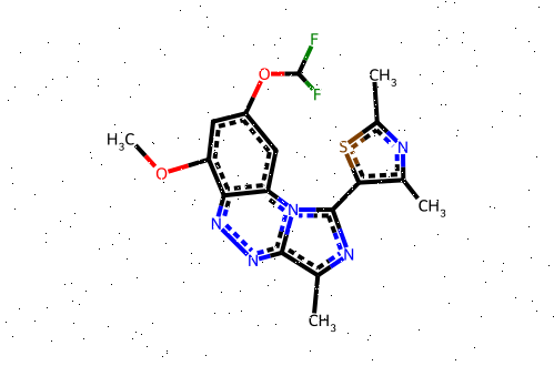 COc1cc(OC(F)F)cc2c1nnc1c(C)nc(-c3sc(C)nc3C)n12